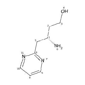 N[C@@H](CCO)Cc1ncccn1